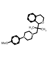 COc1ccc(N2CCN(CC(C)(C)C3OCCc4ccccc43)CC2)cc1